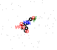 Cc1nc2c(cnn2Cc2ccc(OC(F)F)cc2)c(-c2ccc3c(c2)CCCO3)c1[C@H](OC(C)(C)C)C(=O)O